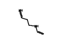 C=CNCCC=N